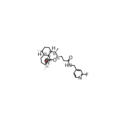 C[C@H]1[C@@H](CCC(=O)NCc2ccnc(F)c2)O[C@@H]2O[C@]3(C)CC[C@H]4[C@H](C)CC[C@@H]1[C@@]24OO3